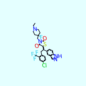 CCN1CCC(F)(CN2C(=O)S/C(=C(/Cc3ccc(Cl)cc3C(F)(F)F)c3ccc4[nH]ncc4c3)C2=O)CC1